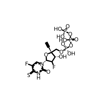 C#C[C@]1(COP(=O)(O)OP(=O)(O)OP(=O)(O)O)O[C@@H](n2cc(F)c(=S)[nH]c2=O)C(F)[C@H]1O